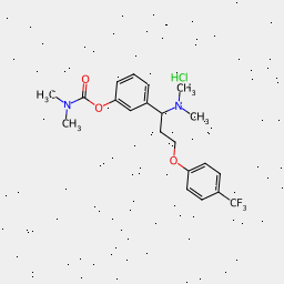 CN(C)C(=O)Oc1cccc(C(CCOc2ccc(C(F)(F)F)cc2)N(C)C)c1.Cl